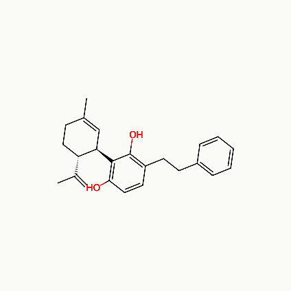 C=C(C)[C@@H]1CCC(C)=C[C@H]1c1c(O)ccc(CCc2ccccc2)c1O